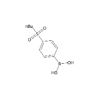 CCCCS(=O)(=O)c1ccc(B(O)O)cc1